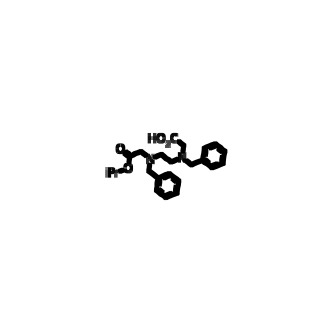 CC(C)OC(=O)CN(CCN(CC(=O)O)Cc1ccccc1)Cc1ccccc1